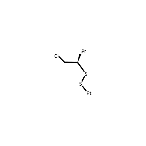 CCSS[C@@H](CCl)C(C)C